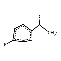 [CH2]C(Cl)c1ccc(F)cc1